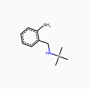 C[Si](C)(C)NCc1ccccc1[SiH3]